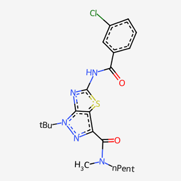 CCCCCN(C)C(=O)c1nn(C(C)(C)C)c2nc(NC(=O)c3cccc(Cl)c3)sc12